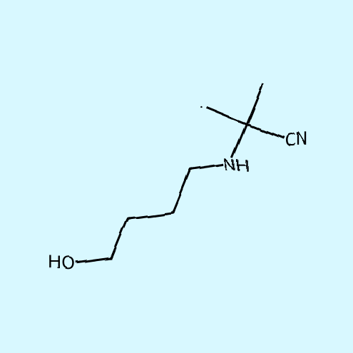 [CH2]C(C)(C#N)NCCCCO